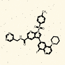 Cc1ccc(S(=O)(=O)n2cc(-c3cc(F)c4nccc(N5CCCCC5)c4c3)c3cc(C(=O)NCc4cncnc4)cnc32)cc1